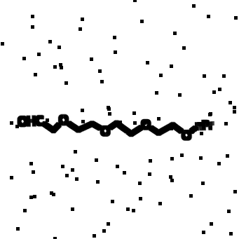 CCCOCCOCCOCCOCC=O